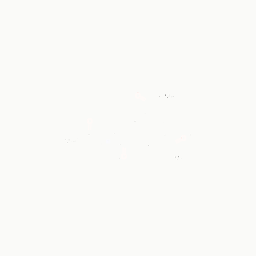 COC(=O)/C=C/C(=O)c1cc(C(=O)OC)cc(C(=O)OC)c1